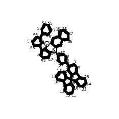 C1=C(c2ccc3c(c2)C2(c4ccccc4-c4ccccc42)c2ccccc2-3)CCC(N(c2ccc3ccccc3c2)c2cccc3c2oc2c(-c4ccccc4)cccc23)=C1